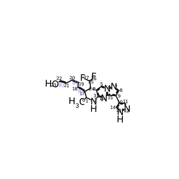 CC(Nc1ccn2ncc(-c3cn[nH]c3)c2n1)/C(=C/C=C\C=C\O)CC(F)F